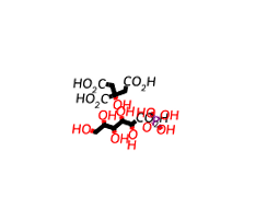 O=C(O)C(O)C(O)C(O)C(O)CO.O=C(O)CC(O)(CC(=O)O)C(=O)O.O=P(O)(O)O